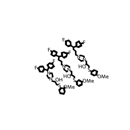 COc1ccc(SCC(O)CN2CCN(CCCC(c3ccc(F)cc3)c3ccc(F)cc3)CC2)cc1.COc1cccc(SCC(O)CN2CCN(CCCC(c3ccc(F)cc3)c3ccc(F)cc3)CC2)c1.COc1ccccc1SCC(O)CN1CCN(C(c2ccc(F)cc2)c2ccc(F)cc2)CC1